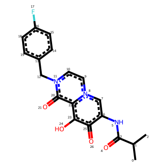 CC(C)C(=O)Nc1cn2ccn(Cc3ccc(F)cc3)c(=O)c2c(O)c1=O